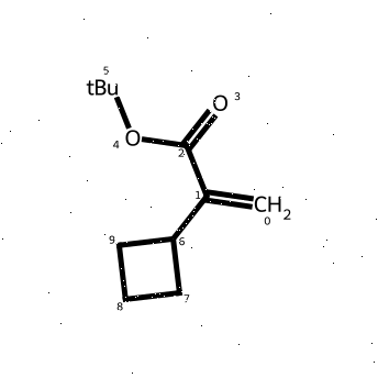 C=C(C(=O)OC(C)(C)C)C1CCC1